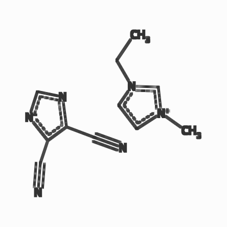 CCn1cc[n+](C)c1.N#Cc1nc[n-]c1C#N